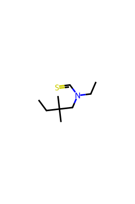 CCN(C=S)CC(C)(C)CC